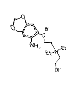 CC[N+](CC)(CCO)CCOc1cc2c(cc1N)OCO2.[Br-]